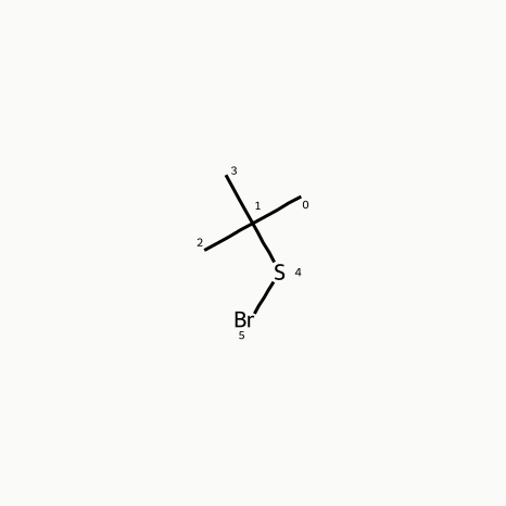 CC(C)(C)SBr